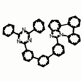 c1ccc(-c2nc(-c3ccccc3)nc(-c3cccc(-c4cccc(-c5cccc(-c6nc7cccc8c7n6-c6ccccc6-c6ccccc6-8)c5)c4)c3)n2)cc1